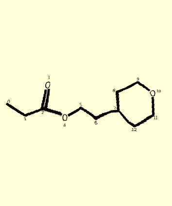 CCC(=O)OCCC1CCOCC1